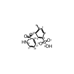 Cc1ccc(S(=O)(=O)O)cc1.O=S1(=O)C=CC=CN1